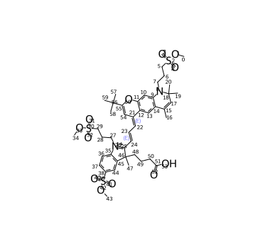 COS(=O)(=O)CCCN1c2cc3c(cc2C(C)=CC1(C)C)/C(=C/C=C/C1=[N+](CCCS(=O)(=O)OC)c2ccc(S(=O)(=O)OC)cc2C1(C)CCCC(=O)O)C=C(C(C)(C)C)O3